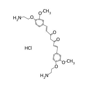 COc1cc(/C=C/C(=O)CC(=O)/C=C/c2ccc(OCCN)c(OC)c2)ccc1OCCN.Cl